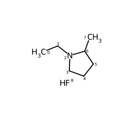 CCN1CCCC1C.F